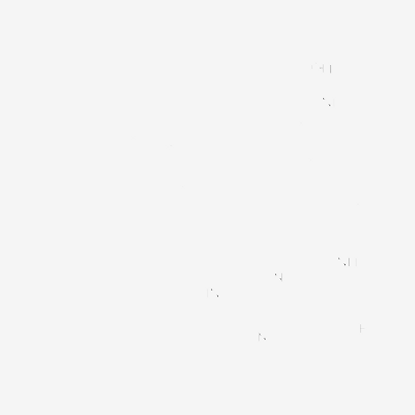 O=C(NO)c1ccc(Nc2nc(Nc3ccc(Oc4ccccc4)cc3)ncc2F)cc1